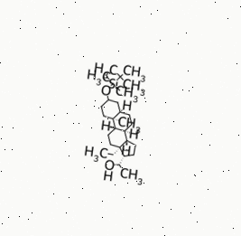 CC[C@]12CC[C@H]3[C@@H](CC[C@@H]4CC(O[Si](C)(C)C(C)(C)C)CC[C@@]43C)[C@@H]1CC[C@@H]2C(C)O